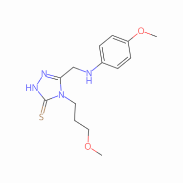 COCCCn1c(CNc2ccc(OC)cc2)n[nH]c1=S